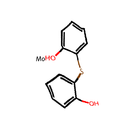 Oc1ccccc1Sc1ccccc1O.[Mo]